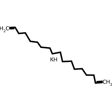 C=CCCCCCCCCCCCCCCC=C.[KH]